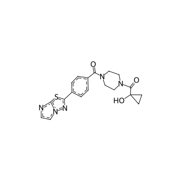 O=C(c1ccc(-c2nn3ccnc3s2)cc1)N1CCN(C(=O)C2(O)CC2)CC1